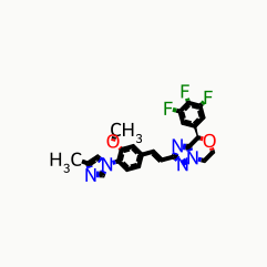 COc1cc(/C=C/c2nc3n(n2)CCO[C@@H]3c2cc(F)c(F)c(F)c2)ccc1-n1cnc(C)c1